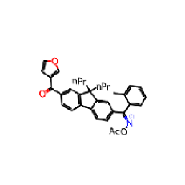 CCCC1(CCC)c2cc(C(=O)c3ccoc3)ccc2-c2ccc(/C(=N\OC(C)=O)c3ccccc3C)cc21